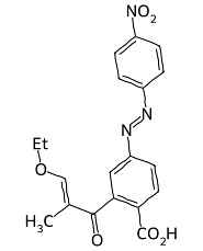 CCOC=C(C)C(=O)c1cc(N=Nc2ccc([N+](=O)[O-])cc2)ccc1C(=O)O